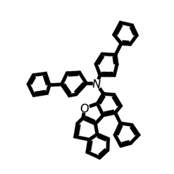 c1ccc(-c2ccc(N(c3ccc(-c4ccccc4)cc3)c3ccc(-c4ccccc4)c4c3oc3ccc5ccccc5c34)cc2)cc1